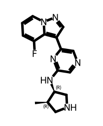 C[C@@H]1CNC[C@@H]1Nc1cncc(-c2cnn3cccc(F)c23)n1